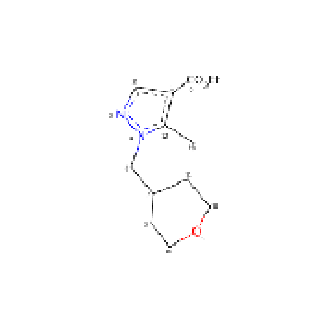 CCOC(=O)c1cnn(CC2CCOCC2)c1C